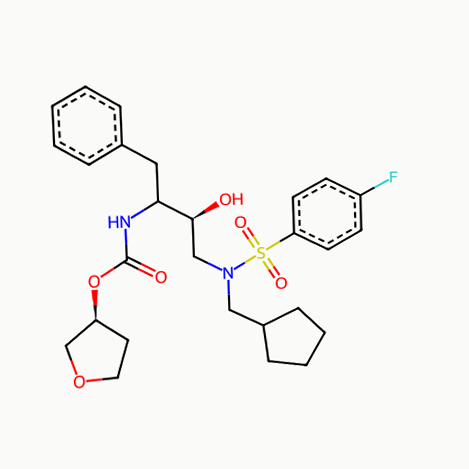 O=C(NC(Cc1ccccc1)[C@@H](O)CN(CC1CCCC1)S(=O)(=O)c1ccc(F)cc1)O[C@H]1CCOC1